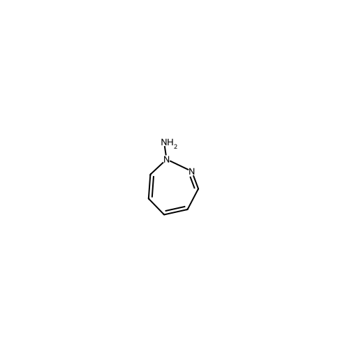 NN1C=CC=CC=N1